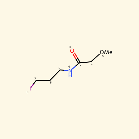 COCC(=O)NCCCI